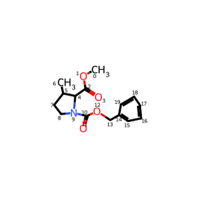 COC(=O)C1C(C)CCN1C(=O)OCc1ccccc1